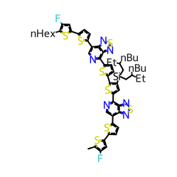 CCCCCCc1sc(-c2ccc(-c3cnc(-c4cc5c(s4)-c4sc(-c6ncc(-c7ccc(-c8cc(F)c(C)s8)s7)c7nsnc67)cc4[Si]5(CC(CC)CCCC)CC(CC)CCCC)c4nsnc34)s2)cc1F